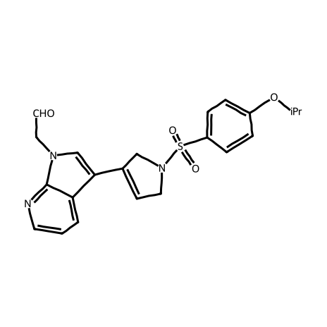 CC(C)Oc1ccc(S(=O)(=O)N2CC=C(c3cn(CC=O)c4ncccc34)C2)cc1